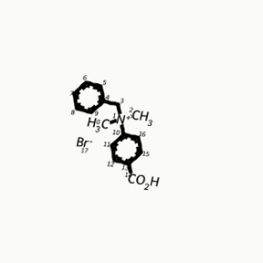 C[N+](C)(Cc1ccccc1)c1ccc(C(=O)O)cc1.[Br-]